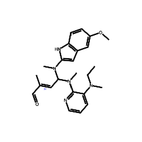 CCN(C)c1cccnc1N(C)C(/C=C(\C)C=O)N(C)c1cc2cc(OC)ccc2[nH]1